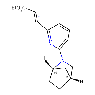 CCOC(=O)/C=C/c1cccc(N2C[C@@H]3CC[C@H]2C3)n1